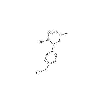 CN(C)CC(c1ccc(OC(F)(F)F)cc1)N(C(=O)O)C(C)(C)C